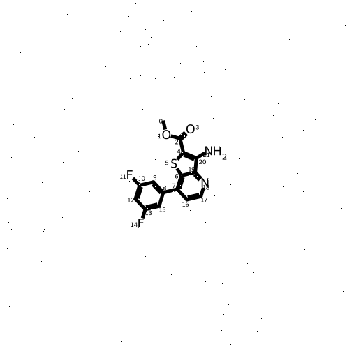 COC(=O)c1sc2c(-c3cc(F)cc(F)c3)ccnc2c1N